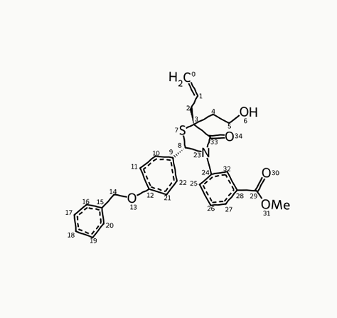 C=CC[C@]1(CCO)S[C@@H](c2ccc(OCc3ccccc3)cc2)N(c2cccc(C(=O)OC)c2)C1=O